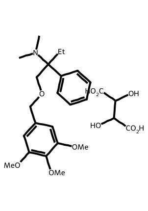 CCC(COCc1cc(OC)c(OC)c(OC)c1)(c1ccccc1)N(C)C.O=C(O)C(O)C(O)C(=O)O